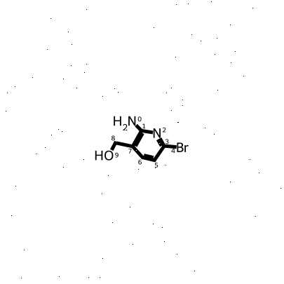 Nc1nc(Br)ccc1CO